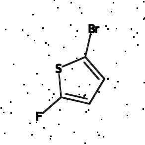 Fc1c[c]c(Br)s1